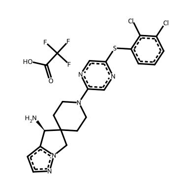 N[C@@H]1c2ccnn2CC12CCN(c1cnc(Sc3cccc(Cl)c3Cl)cn1)CC2.O=C(O)C(F)(F)F